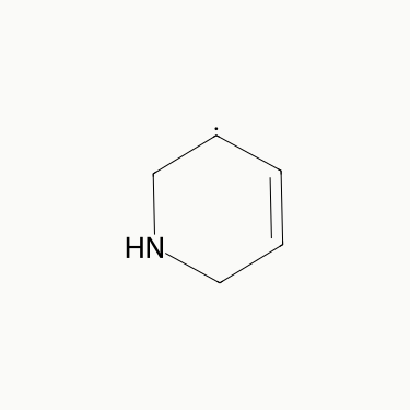 [CH]1C=CCNC1